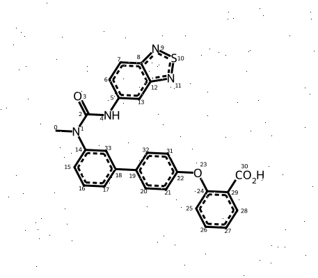 CN(C(=O)Nc1ccc2nsnc2c1)c1cccc(-c2ccc(Oc3ccccc3C(=O)O)cc2)c1